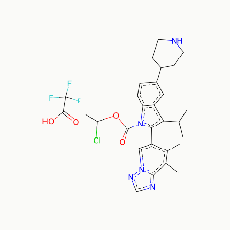 Cc1c(-c2c(C(C)C)c3cc(C4CCNCC4)ccc3n2C(=O)OC(C)Cl)cn2ncnc2c1C.O=C(O)C(F)(F)F